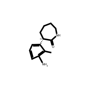 Cc1c(N)cccc1[C@@H]1CCCCNC1=O